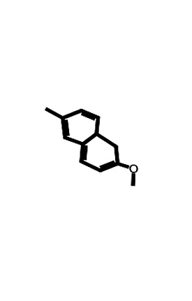 COC1=CC=C2C=C(C)C=CC2C1